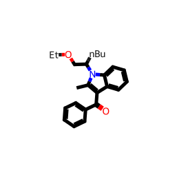 CCCCC(COCC)n1c(C)c(C(=O)c2ccccc2)c2ccccc21